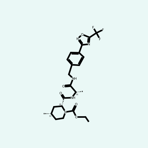 CCOC(=O)N1CC[C@H](C)C[C@@H]1C(=O)N[C@@H](C)C(=O)NCc1ccc(-c2noc(C(F)(F)F)n2)cc1